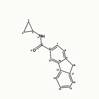 O=C(NC1CC1)c1ccc2c(c1)-c1ccccc1C2